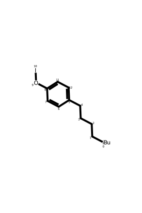 CCC(C)CCCCc1ccc(OI)cc1